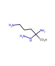 NCCCC(N)(NN)C(=O)O